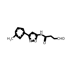 Cc1cccc(-c2cc(NC(=O)CCC=O)on2)c1